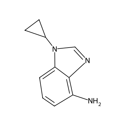 Nc1cccc2c1ncn2C1CC1